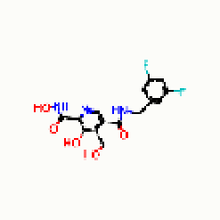 O=C(NCc1cc(F)cc(F)c1)c1cnc(C(=O)NO)c(O)c1CO